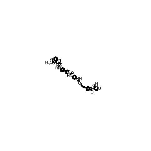 CS(=O)(=O)c1ccccc1Nc1nc(Nc2ccc(C3CCN(C(=O)N[C@H]4CC[C@@H](NCCOCCC#Cc5ccc6c(c5)CN(C5CCC(=O)NC5=O)C6=O)CC4)CC3)cc2)ncc1Cl